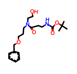 CC(C)(C)OC(=O)NCCC(=O)N(CCO)CCCOCc1ccccc1